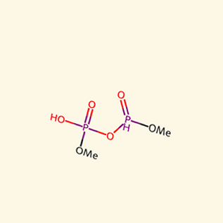 CO[PH](=O)OP(=O)(O)OC